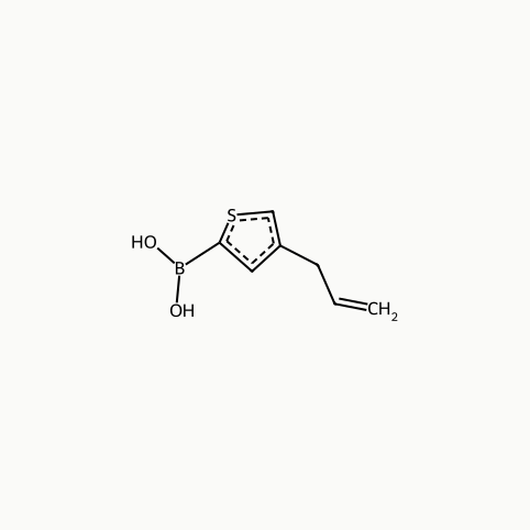 C=CCc1csc(B(O)O)c1